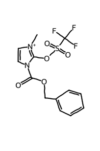 C[n+]1ccn(C(=O)OCc2ccccc2)c1OS(=O)(=O)C(F)(F)F